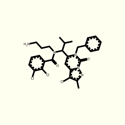 Cc1nn2c(=O)n(Cc3ccccc3)c(C(C(C)C)N(CCCN)C(=O)c3cccc(Cl)c3Cl)cc2c1Cl